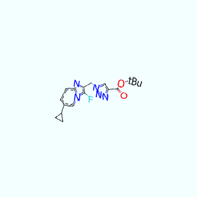 CC(C)(C)OC(=O)c1cn(Cc2nc3ccc(C4CC4)cn3c2F)nn1